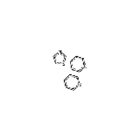 c1ccncc1.c1ccncc1.c1cscn1